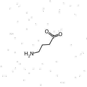 NCCCI(=O)=O